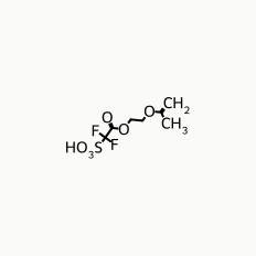 C=C(C)OCCOC(=O)C(F)(F)S(=O)(=O)O